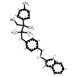 Cc1ccc(C(C)(CC(C)(C)C)C(C)(C)Cc2ccc(CSc3nc4ccccc4s3)cc2)cc1